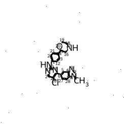 Cn1cnc2cc(-c3nc(Nc4ccc(C5CNCCO5)cc4)ncc3Cl)ccc21